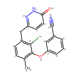 Cc1ccc(Cc2ccc(=O)[nH]n2)c(F)c1Oc1cccc(C#N)c1